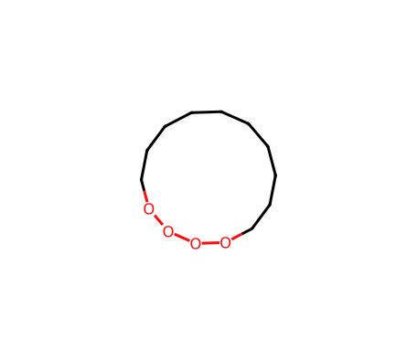 C1CCCCCOOOOCCCC1